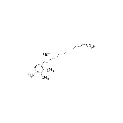 Br.Cc1c(P)ccc(CCCCCCCCCCCC(=O)O)c1C